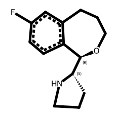 Fc1ccc2c(c1)CCCO[C@H]2[C@@H]1CCCN1